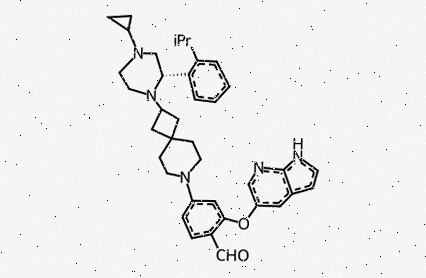 CC(C)c1ccccc1[C@H]1CN(C2CC2)CCN1C1CC2(CCN(c3ccc(C=O)c(Oc4cnc5[nH]ccc5c4)c3)CC2)C1